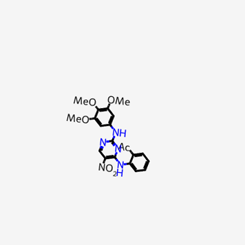 COc1cc(Nc2ncc([N+](=O)[O-])c(Nc3ccccc3C(C)=O)n2)cc(OC)c1OC